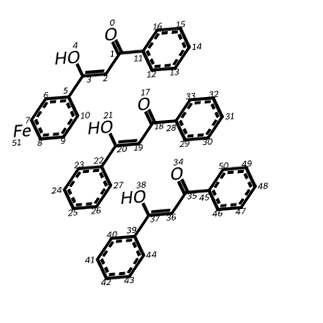 O=C(C=C(O)c1ccccc1)c1ccccc1.O=C(C=C(O)c1ccccc1)c1ccccc1.O=C(C=C(O)c1ccccc1)c1ccccc1.[Fe]